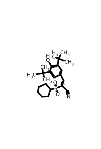 CC(C)(C)c1cc(/C=C(/C#N)S(=O)(=O)C2CCCCC2)cc(C(C)(C)C)c1O